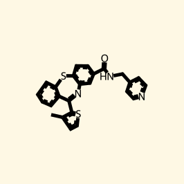 Cc1ccsc1C1=Nc2cc(C(=O)NCc3ccncc3)ccc2Sc2ccccc21